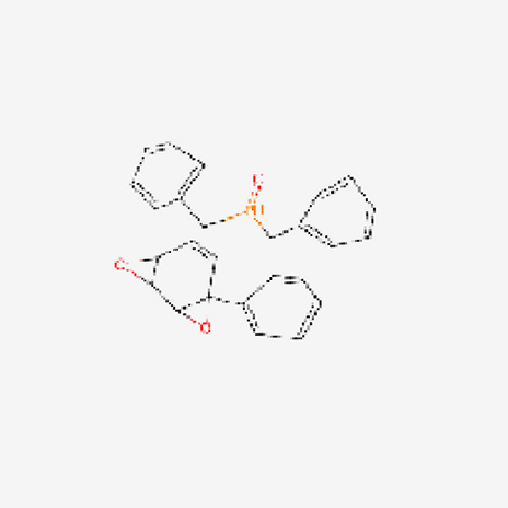 C1=CC2(c3ccccc3)OC2C2OC12.O=[PH](Cc1ccccc1)Cc1ccccc1